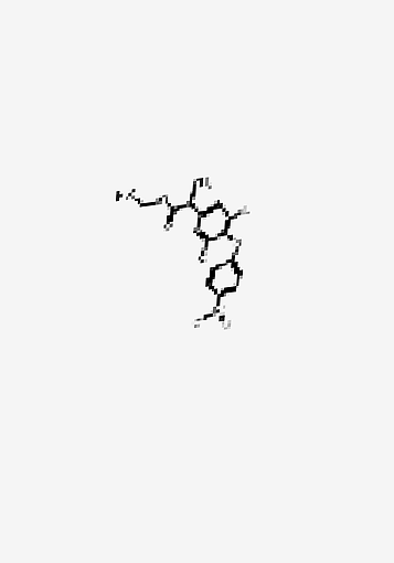 CCOC(=O)C(C)c1cc(Cl)c(Oc2ccc([N+](=O)[O-])cc2)c(Cl)c1